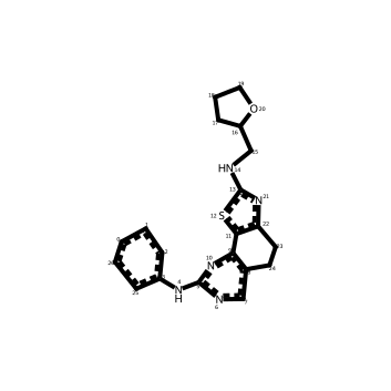 c1ccc(Nc2ncc3c(n2)-c2sc(NCC4CCCO4)nc2CC3)cc1